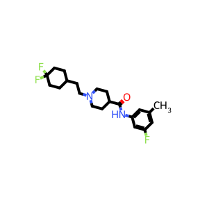 Cc1cc(F)cc(NC(=O)C2CCN(CCC3CCC(F)(F)CC3)CC2)c1